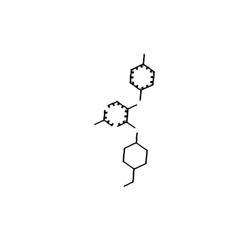 Nc1ncc(Oc2ccc(Cl)cc2)c(NC2CCC(CO)CC2)n1